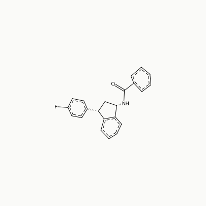 O=C(N[C@H]1C[C@@H](c2ccc(F)cc2)c2ccccc21)c1ccccc1